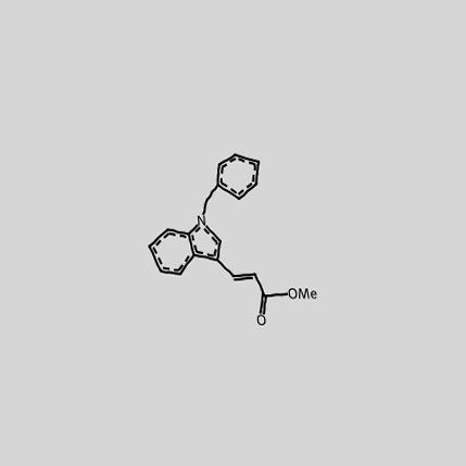 COC(=O)C=Cc1cn(Cc2ccccc2)c2ccccc12